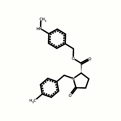 CNc1ccc(COC(=O)[C@@H]2CCC(=O)N2Cc2ccc(C)cc2)cc1